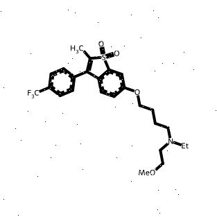 CCN(CCCCOc1ccc2c(c1)S(=O)(=O)C(C)=C2c1ccc(C(F)(F)F)cc1)CCOC